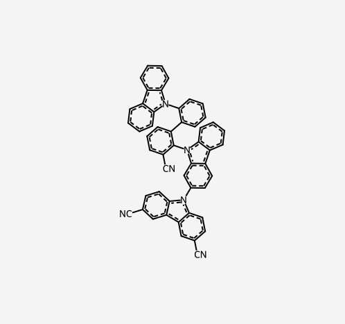 N#Cc1ccc2c(c1)c1cc(C#N)ccc1n2-c1ccc2c3ccccc3n(-c3c(C#N)cccc3-c3ccccc3-n3c4ccccc4c4ccccc43)c2c1